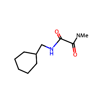 CNC(=O)C(=O)NCC1CCCCC1